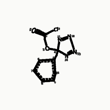 O=C(Cl)OC1(c2ccccc2)N=NN=N1